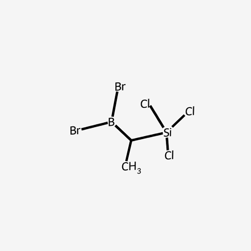 CC(B(Br)Br)[Si](Cl)(Cl)Cl